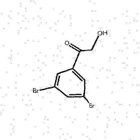 O=C(CO)c1cc(Br)cc(Br)c1